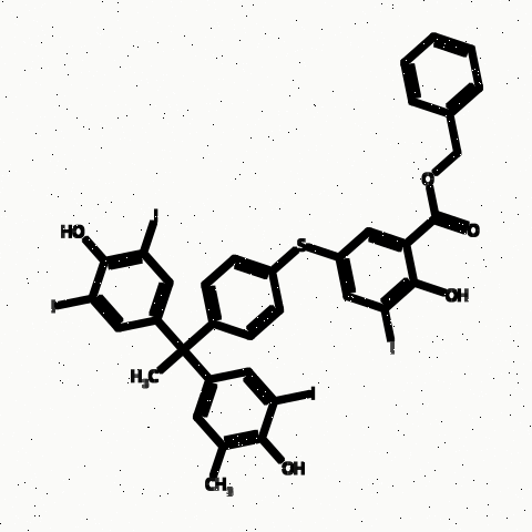 Cc1cc(C(C)(c2ccc(Sc3cc(I)c(O)c(C(=O)OCc4ccccc4)c3)cc2)c2cc(I)c(O)c(I)c2)cc(I)c1O